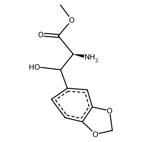 COC(=O)[C@@H](N)C(O)c1ccc2c(c1)OCO2